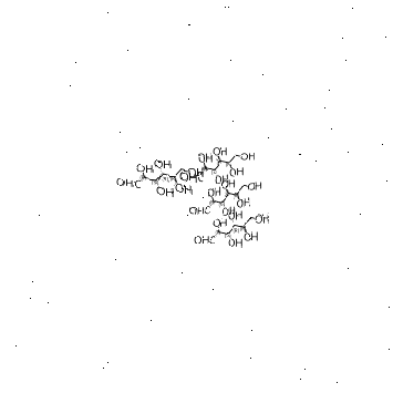 O=C[C@H](O)[C@@H](O)[C@@H](O)[C@H](O)CO.O=C[C@H](O)[C@@H](O)[C@@H](O)[C@H](O)CO.O=C[C@H](O)[C@@H](O)[C@H](O)[C@H](O)CO.O=C[C@H](O)[C@@H](O)[C@H](O)[C@H](O)CO